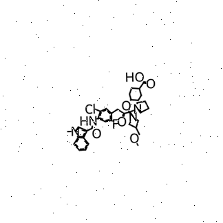 COCC1CN(C(OC2CCC(C(=O)O)CC2)(C(=O)Cc2cc(Cl)c(NC(=O)c3cn(C)c4ccccc34)cc2F)N2CCCC2)C1